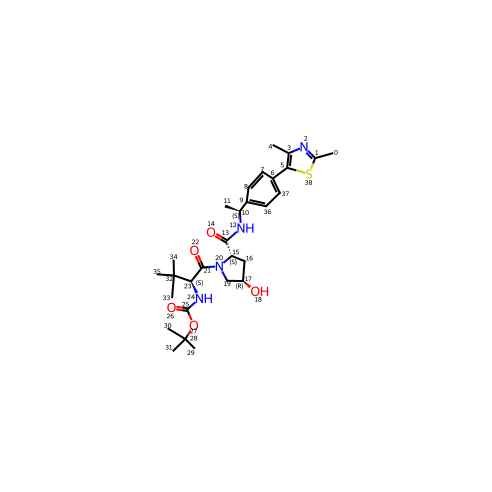 Cc1nc(C)c(-c2ccc([C@H](C)NC(=O)[C@@H]3C[C@@H](O)CN3C(=O)[C@@H](NC(=O)OC(C)(C)C)C(C)(C)C)cc2)s1